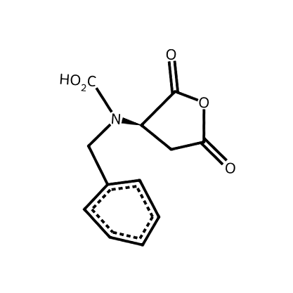 O=C1C[C@@H](N(Cc2ccccc2)C(=O)O)C(=O)O1